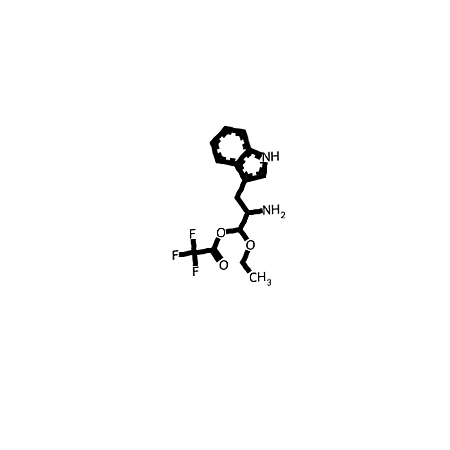 CCOC(OC(=O)C(F)(F)F)C(N)Cc1c[nH]c2ccccc12